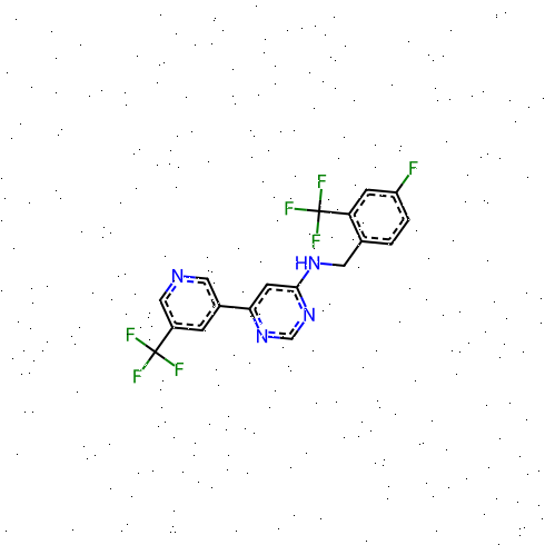 Fc1ccc(CNc2cc(-c3cncc(C(F)(F)F)c3)ncn2)c(C(F)(F)F)c1